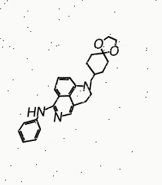 c1ccc(Nc2ncc3c4c(cccc24)N(C2CCC4(CC2)OCCO4)CC3)cc1